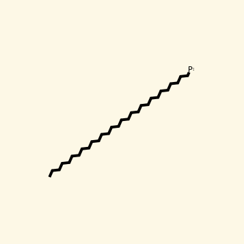 CCCCCCCCCCCCCCCCCCCCCCCCCCCCC[P]